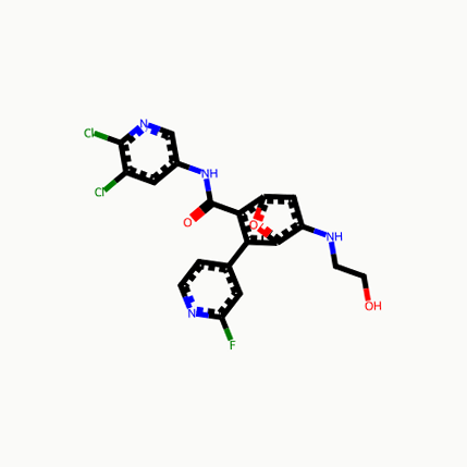 O=C(Nc1cnc(Cl)c(Cl)c1)c1c(-c2ccnc(F)c2)c2oc1cc2NCCO